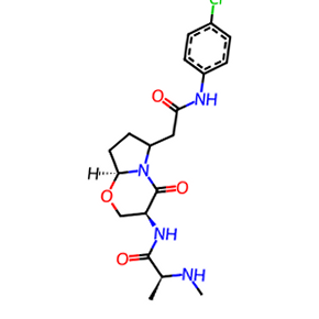 CN[C@@H](C)C(=O)N[C@H]1CO[C@H]2CCC(CC(=O)Nc3ccc(Cl)cc3)N2C1=O